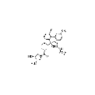 Cc1cccc(-c2c(F)cccc2[C@](O)(CCCNC(=O)O)[C@@H]2CCCN(C(=O)N3C[C@@H](N)[C@@H](O)C3)C2)c1